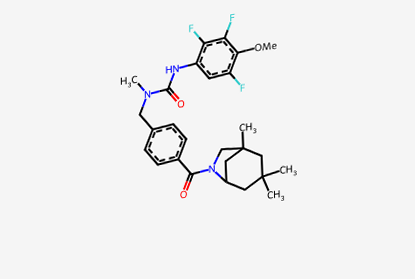 COc1c(F)cc(NC(=O)N(C)Cc2ccc(C(=O)N3CC4(C)CC3CC(C)(C)C4)cc2)c(F)c1F